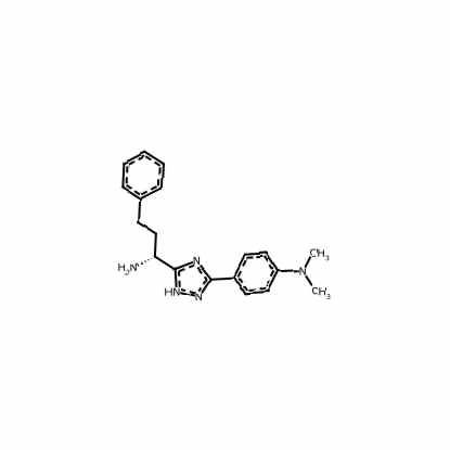 CN(C)c1ccc(-c2n[nH]c([C@H](N)CCc3ccccc3)n2)cc1